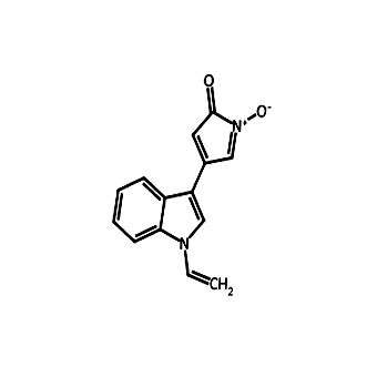 C=Cn1cc(C2=CC(=O)[N+]([O-])=C2)c2ccccc21